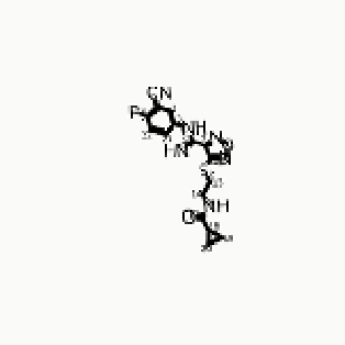 N#Cc1cc(NC(=N)c2nonc2SCCNC(=O)C2CC2)ccc1F